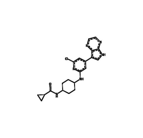 O=C(NC1CCC(Nc2cc(-c3c[nH]c4nccnc34)cc(Cl)n2)CC1)C1CC1